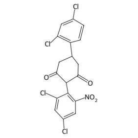 O=C1CC(c2ccc(Cl)cc2Cl)CC(=O)C1c1c(Cl)cc(Cl)cc1[N+](=O)[O-]